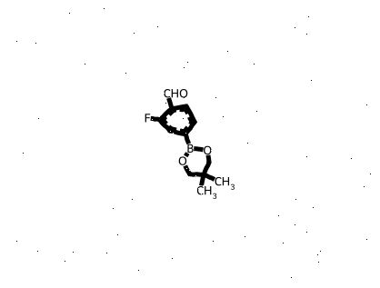 CC1(C)COB(c2ccc(C=O)c(F)c2)OC1